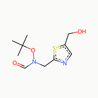 CC(C)(C)ON(C=O)Cc1ncc(CO)s1